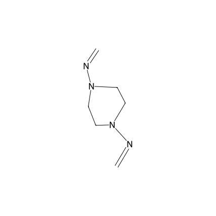 C=NN1CCN(N=C)CC1